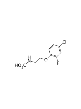 O=C(O)NCCOc1ccc(Cl)cc1F